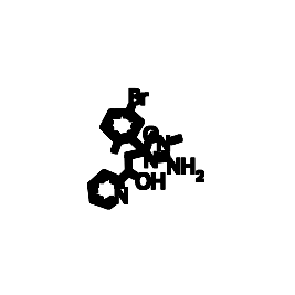 Cc1ccc(Br)cc1C1(CC(O)c2ccccn2)N=C(N)N(C)O1